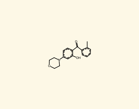 Cc1ccccc1C(=O)c1ccc(N2CCOCC2)cc1O